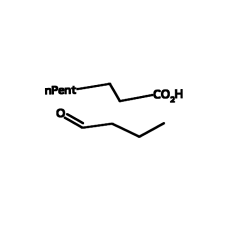 CCCC=O.CCCCCCCC(=O)O